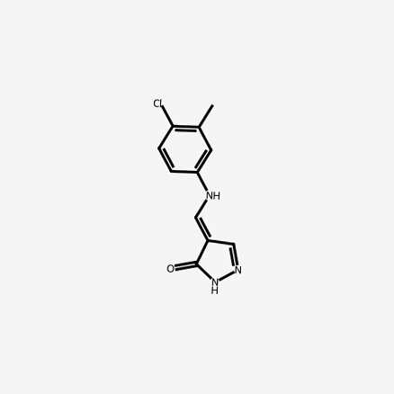 Cc1cc(NC=C2C=NNC2=O)ccc1Cl